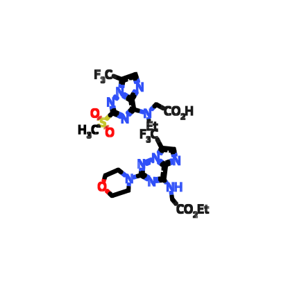 CCN(CC(=O)O)c1nc(S(C)(=O)=O)nn2c(C(F)(F)F)cnc12.CCOC(=O)CNc1nc(N2CCOCC2)nn2c(C(F)(F)F)cnc12